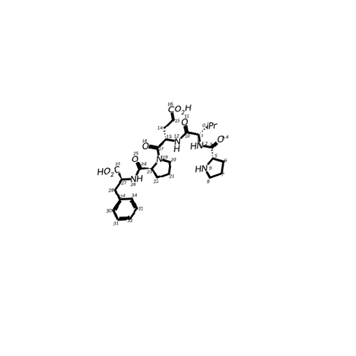 CC(C)[C@H](NC(=O)[C@@H]1CCCN1)C(=O)N[C@@H](CCC(=O)O)C(=O)N1CCC[C@H]1C(=O)N[C@@H](Cc1ccccc1)C(=O)O